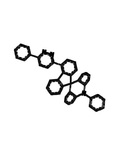 c1ccc(-c2ccc(-c3cccc4c3-c3ccccc3C43c4ccccc4N(c4ccccc4)c4ccccc43)nn2)cc1